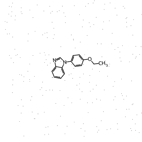 CCOc1ccc(-n2cnc3c[c]ccc32)cc1